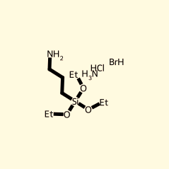 Br.CCO[Si](CCCN)(OCC)OCC.Cl.N